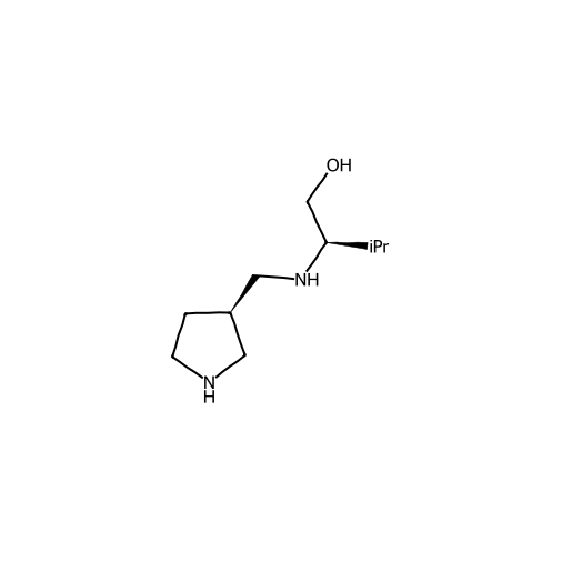 CC(C)[C@H](CO)NC[C@@H]1CCNC1